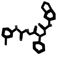 Cc1cccc(NC(=O)NCC(=O)N(CC(=O)Nc2ccc3c(c2)CCC3)c2ccccc2)c1